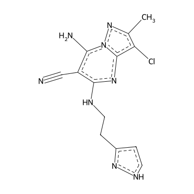 Cc1nn2c(N)c(C#N)c(NCCc3cc[nH]n3)nc2c1Cl